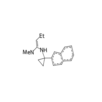 CC/C=C(/NC)NC1(c2ccc3ccccc3c2)CC1